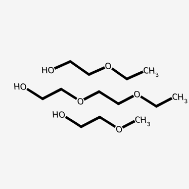 CCOCCO.CCOCCOCCO.COCCO